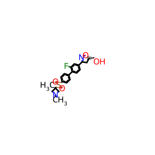 CN1CC(C)(S(=O)(=O)c2ccc(-c3ccc(C4=NO[C@@H](CO)C4)cc3F)cc2)C1